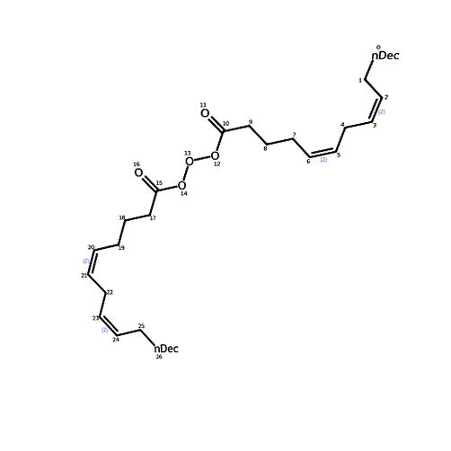 CCCCCCCCCCC/C=C\C/C=C\CCCC(=O)OOOC(=O)CCC/C=C\C/C=C\CCCCCCCCCCC